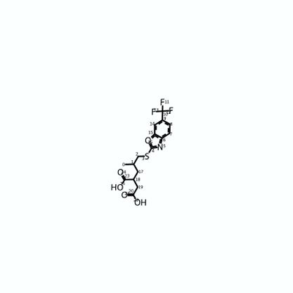 CC(CSc1nc2ccc(C(F)(F)F)cc2o1)CC(CC(=O)O)C(=O)O